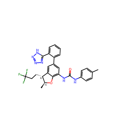 Cc1ccc(NC(=O)Nc2cc(-c3ccccc3-c3nnn[nH]3)cc3c2O[C@@H](C)[C@@H]3CCC(F)(F)F)cc1